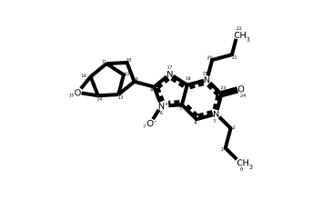 CCCn1cc2[n+]([O-])c(C3CC4CC3C3OC43)nc-2n(CCC)c1=O